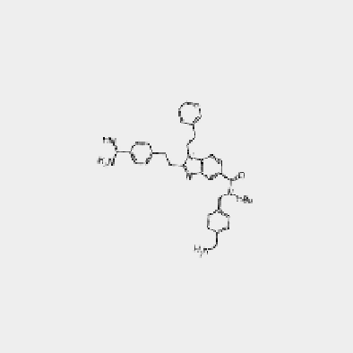 CCCCN(Cc1ccc(CN)cc1)C(=O)c1ccc2c(c1)nc(CCc1ccc(C(=N)N)cc1)n2CCc1ccccc1